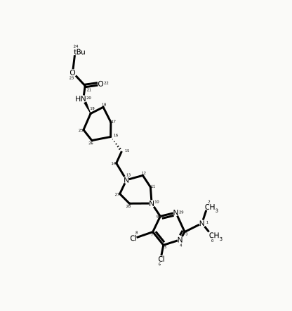 CN(C)c1nc(Cl)c(Cl)c(N2CCN(CC[C@H]3CC[C@H](NC(=O)OC(C)(C)C)CC3)CC2)n1